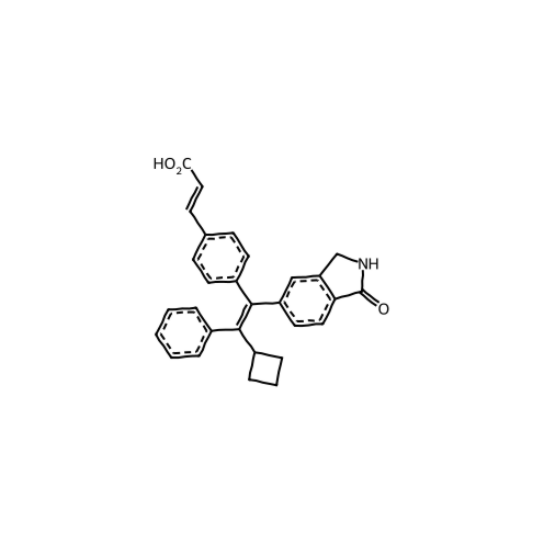 O=C(O)C=Cc1ccc(C(=C(c2ccccc2)C2CCC2)c2ccc3c(c2)CNC3=O)cc1